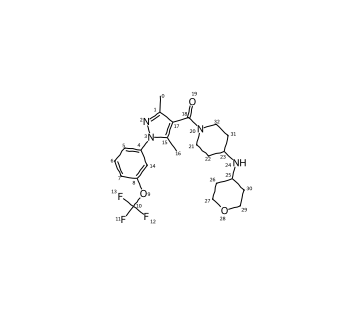 Cc1nn(-c2cccc(OC(F)(F)F)c2)c(C)c1C(=O)N1CCC(NC2CCOCC2)CC1